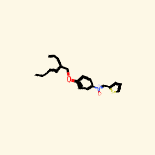 CCCCC(CC)COc1ccc(/[N+]([O-])=C/c2cccs2)cc1